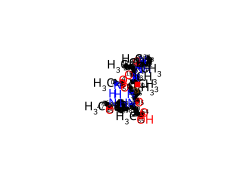 CCNC(=O)O[C@H](CC(C(C)C)N(C)C(=O)[C@@H](NC(=O)[C@@]1(C)CCCN1C)[C@@H](C)CC)c1nc(C(=O)N[C@@H](Cc2ccc(NC(=O)CC)cc2)C[C@H](C)C(=O)O)cs1